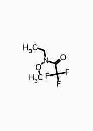 CCN(OC)C(=O)C(F)(F)F